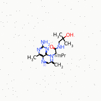 C=C/C=N\c1c(C)nc(N)nc1N[C@@H](CCC)C(=O)NCC(C)(C)O